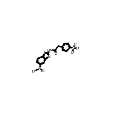 CCN(CC)c1ccc2sc(NC(=O)Cc3ccc(S(=O)(=O)CC)cc3)nc2c1